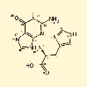 N[C@@H](Cc1c[nH]cn1)C(=O)O.Nc1nc2nc[nH]c2c(=O)[nH]1